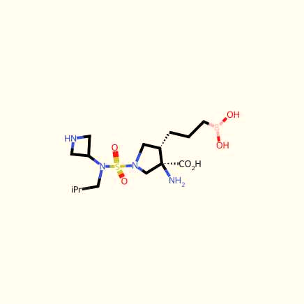 CC(C)CN(C1CNC1)S(=O)(=O)N1C[C@H](CCCB(O)O)[C@](N)(C(=O)O)C1